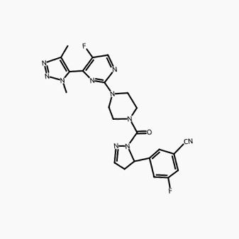 Cc1nnn(C)c1-c1nc(N2CCN(C(=O)N3N=CCC3c3cc(F)cc(C#N)c3)CC2)ncc1F